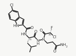 CC(C)C[C@H](NC(=O)c1cc2cc(Cl)ccc2[nH]1)C(=O)NN(CCC(N)=O)C(=O)[C@H](F)Cl